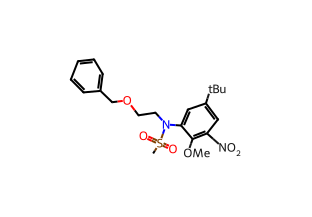 COc1c(N(CCOCc2ccccc2)S(C)(=O)=O)cc(C(C)(C)C)cc1[N+](=O)[O-]